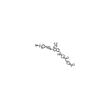 CC(=O)N1CCN(CC(=O)N2CCC(NCc3ccc4c(c3)cc(C#CCNc3ccc(C(C)(C)C#N)nc3)n4CC(F)(F)F)CC2)CC1